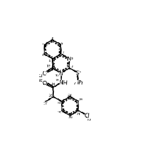 CC(C)Sc1nc2ccccc2c(=O)n1NC(=O)C(C)c1ccc(Cl)cc1